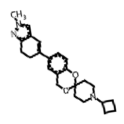 Cn1cc2c(n1)CCC(c1ccc3c(c1)COC1(CCN(C4CCC4)CC1)O3)=C2